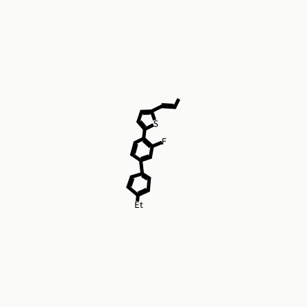 CC=Cc1ccc(-c2ccc(-c3ccc(CC)cc3)cc2F)s1